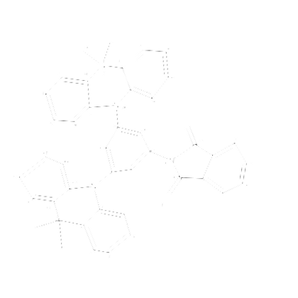 CC1(C)c2ccccc2N(c2cc(N3C(=O)c4ccccc4C3=O)cc(N3c4ccccc4[Si](C)(C)c4ccccc43)c2)c2ccccc21